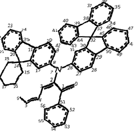 C=C(/C(=C\C=C/C)N(c1ccc2c(c1)C1(CCCCC1)c1ccccc1-2)c1ccc2c(c1)C1(c3ccccc3-c3ccccc31)c1ccccc1-2)c1ccccc1